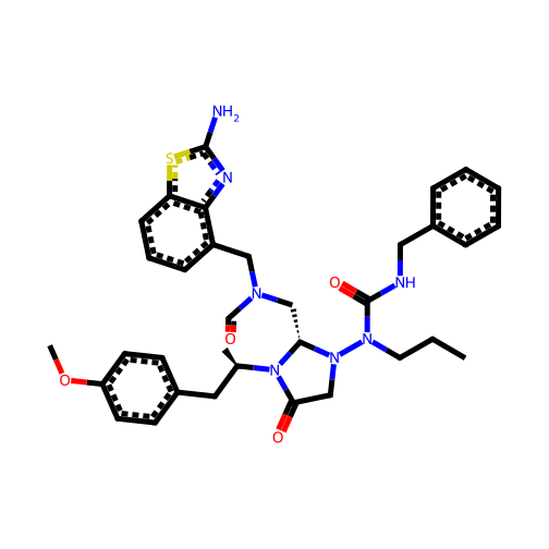 CCCN(C(=O)NCc1ccccc1)N1CC(=O)N([C@H](C)Cc2ccc(OC)cc2)[C@@H]1CN(C=O)Cc1cccc2sc(N)nc12